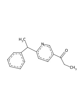 CCC(=O)c1ccc(C(C)c2ccccc2)nc1